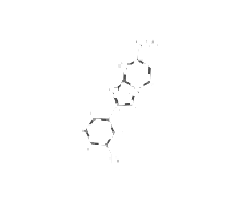 CNc1ccn2cc(-c3cccc(Br)c3)nc2n1